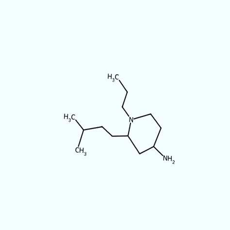 CCCN1CCC(N)CC1CCC(C)C